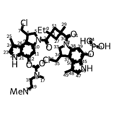 CCC1(C(=O)N2CC(CCl)c3c2cc(OC(=O)N(C)CCNC)c2[nH]cc(C)c32)CC(C)(C(=O)N2CC(CCl)c3c2cc(OP(O)O)c2[nH]cc(C)c32)C1